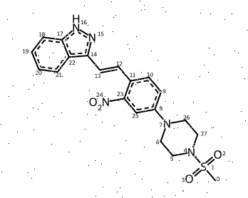 CS(=O)(=O)N1CCN(c2ccc(/C=C/c3n[nH]c4ccccc34)c([N+](=O)[O-])c2)CC1